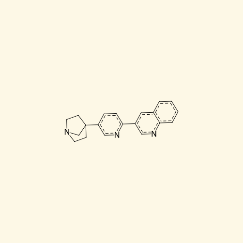 c1ccc2ncc(-c3ccc(C45CCN(CC4)C5)cn3)cc2c1